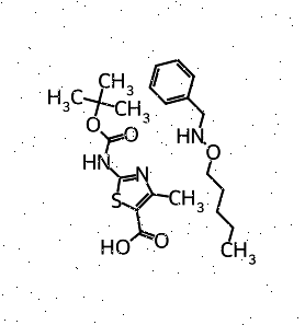 CCCCCONCc1ccccc1.Cc1nc(NC(=O)OC(C)(C)C)sc1C(=O)O